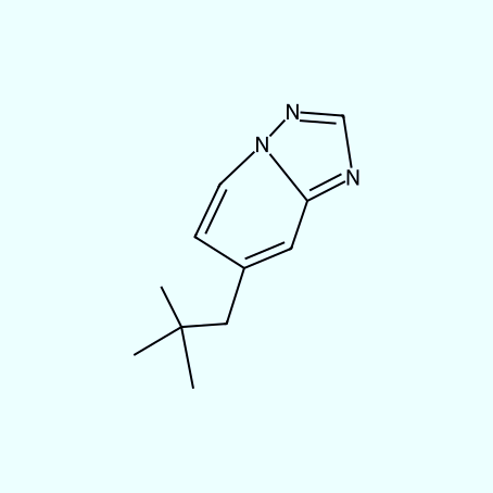 CC(C)(C)Cc1ccn2ncnc2c1